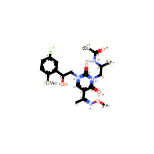 COc1ccc(F)cc1C(O)Cn1cc(/C(C)=N\OC(C)C)c(=O)n(CC(NC(=O)C(C)(C)C)C(C)C)c1=O